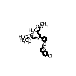 COC(=O)CC(C)CCC(SCCC(=O)NC(C)(C)C)c1cccc(OCc2ccc3ccc(Cl)cc3n2)c1